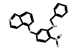 O=[N+]([O-])c1ccc(Sc2cccc3cnccc23)cc1NCc1ccccc1